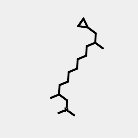 CC(CCCCCCCC(C)CN(C)C)CC1CC1